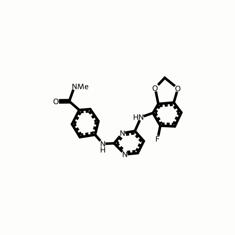 CNC(=O)c1ccc(Nc2nccc(Nc3c(F)ccc4c3OCO4)n2)cc1